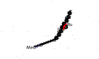 CCCCC12CCCC(CCCC)(CCC1)C21c2cc(-c3ccc4c(c3)sc3cc(-c5ccc(C)cc5)ccc34)ccc2-c2ccc(-c3ccc4c(c3)sc3cc(-c5ccc(OCCCCCCCCCCCO/C=C/C/C=C/OC)cc5)ccc34)cc21